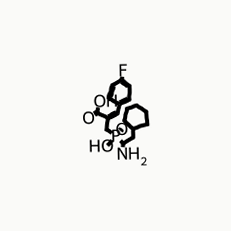 NC(CC1CCCCC1)P(=O)(O)C/C(=C/c1ccc(F)cc1)C(=O)O